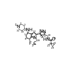 CN1CCC(Nc2cccc3c2cc(-c2nnc(CNC(=O)C4(C)CC4)s2)n3CC(F)(F)F)CC1